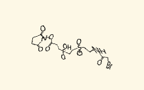 O=C(CBr)NCCS(=O)(=O)CCP(=O)(O)CCC(=O)ON1C(=O)CCC1=O